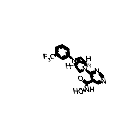 O=C(NO)c1cncnc1N1C[C@@H]2C[C@H]1CN2c1cccc(C(F)(F)F)c1